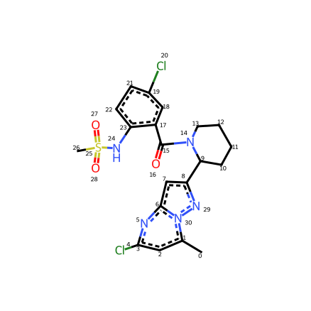 Cc1cc(Cl)nc2cc(C3CCCCN3C(=O)c3cc(Cl)ccc3NS(C)(=O)=O)nn12